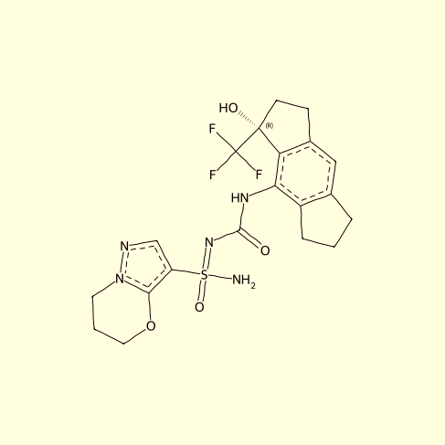 NS(=O)(=NC(=O)Nc1c2c(cc3c1[C@@](O)(C(F)(F)F)CC3)CCC2)c1cnn2c1OCCC2